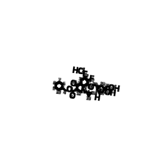 Cl.O=C(OCc1ccccc1)c1cn(C2CC2)c2c(OC[C@H]3C[C@@](O)(CO)CN3)c(F)c(F)cc2c1=O